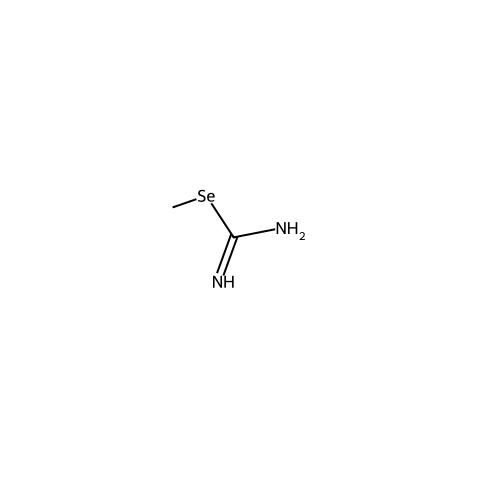 C[Se]C(=N)N